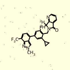 [2H]C1([2H])c2ncccc2C(=O)N1Cc1c(F)cc(-c2ccc(C(F)(F)F)c3nn(C)cc23)cc1C1CC1